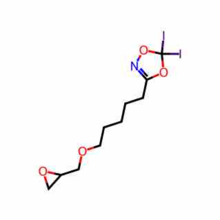 IC1(I)ON=C(CCCCCOCC2CO2)O1